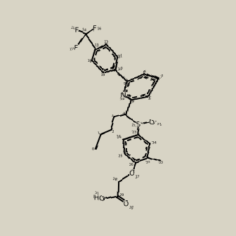 CCCCC(c1cccc(-c2ccc(C(F)(F)F)cc2)n1)[S+]([O-])c1ccc(OCC(=O)O)c(C)c1